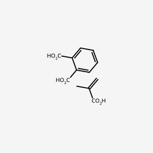 C=C(C)C(=O)O.O=C(O)c1ccccc1C(=O)O